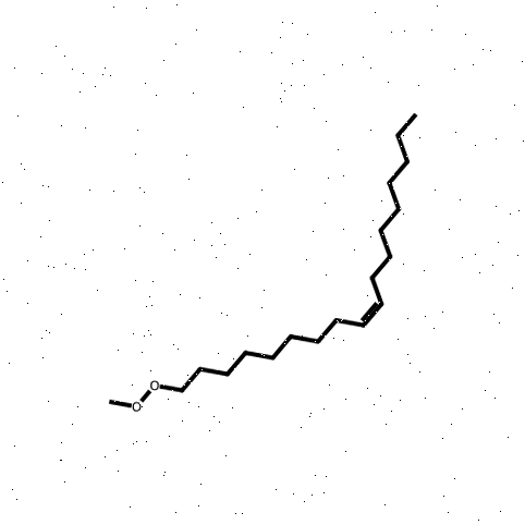 CCCCCCCC/C=C\CCCCCCCCOOC